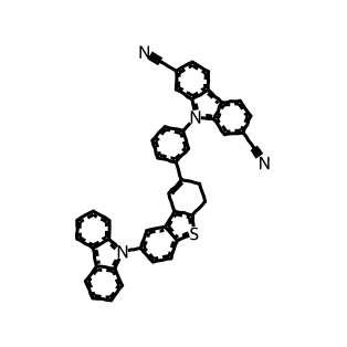 N#Cc1ccc2c3ccc(C#N)cc3n(-c3cccc(C4=Cc5c(sc6ccc(-n7c8ccccc8c8ccccc87)cc56)CC4)c3)c2c1